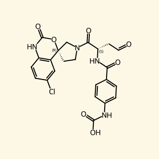 O=CC[C@H](NC(=O)c1ccc(NC(=O)O)cc1)C(=O)N1CC[C@@]2(C1)OC(=O)Nc1ccc(Cl)cc12